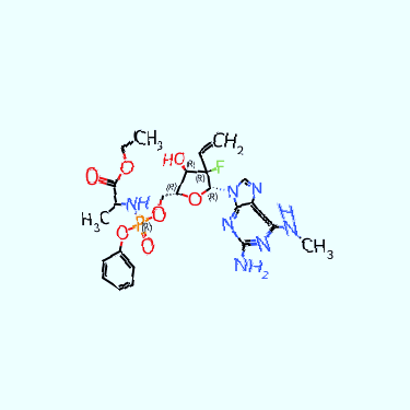 C=C[C@@]1(F)[C@H](O)[C@@H](CO[P@](=O)(NC(C)C(=O)OCC)Oc2ccccc2)O[C@H]1n1cnc2c(NC)nc(N)nc21